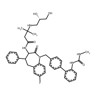 CNC(=O)Nc1ccccc1-c1ccc(CN2C(=O)C(NC(=O)CC(C)(C)NC[C@H](O)CO)C(c3ccccc3)Cc3cc(F)ccc32)cc1